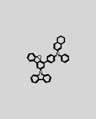 C1=CC2CCCCC2C=C1N(c1ccccc1)c1ccc(-c2cc(-n3c4ccccc4c4ccccc43)cc3c2oc2ccccc23)cc1